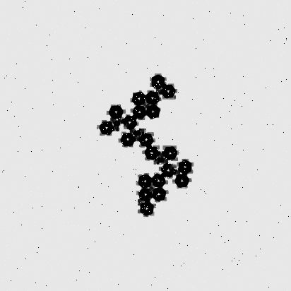 c1ccc([Si](c2ccccc2)(c2ccc(-c3cc(-n4c5ccccc5n5c6ccccc6nc45)nc(-n4c5ccccc5n5c6cc(-c7ccc8nc9n(-c%10cc(-c%11ccc([Si](c%12ccccc%12)(c%12ccccc%12)c%12ccc%13sc%14ccccc%14c%13c%12)cc%11)cc(-n%11c%12ccccc%12c%12ccccc%12%11)n%10)c%10ccccc%10n9c8c7)ccc6nc45)c3)cc2)c2ccc(-n3c4ccccc4c4ccccc43)cc2)cc1